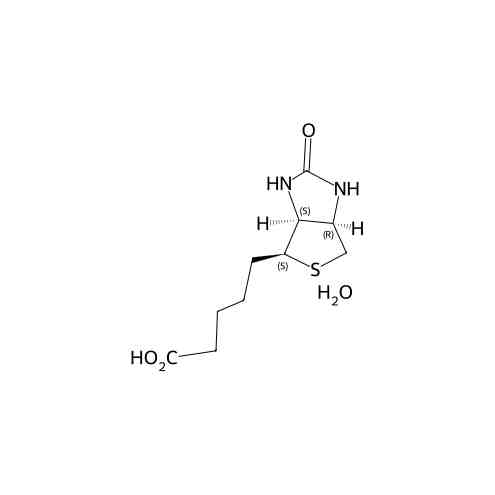 O.O=C(O)CCCC[C@@H]1SC[C@@H]2NC(=O)N[C@@H]21